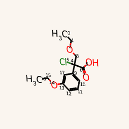 CCOCC(Cl)(C(=O)O)c1cccc(OCC)c1